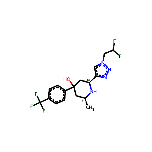 C[C@H]1CC(O)(c2ccc(C(F)(F)F)cc2)C[C@@H](c2cn(CC(F)F)nn2)N1